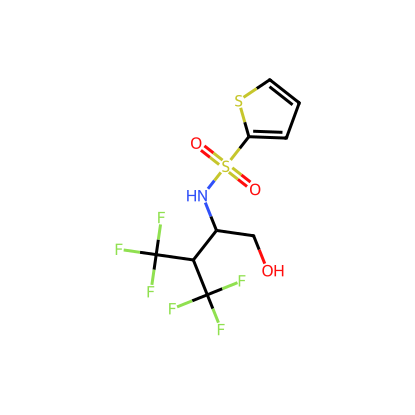 O=S(=O)(NC(CO)C(C(F)(F)F)C(F)(F)F)c1cccs1